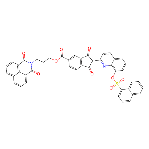 O=C(OCCCN1C(=O)c2cccc3cccc(c23)C1=O)c1ccc2c(c1)C(=O)C(c1ccc3cccc(OS(=O)(=O)c4cccc5ccccc45)c3n1)C2=O